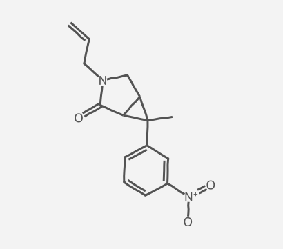 C=CCN1CC2C(C1=O)C2(C)c1cccc([N+](=O)[O-])c1